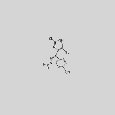 CCC1=C(c2nn(PI)c3cc(C#N)ccc23)N=C(Cl)NC1